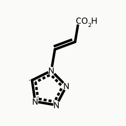 O=C(O)C=Cn1[c]nnn1